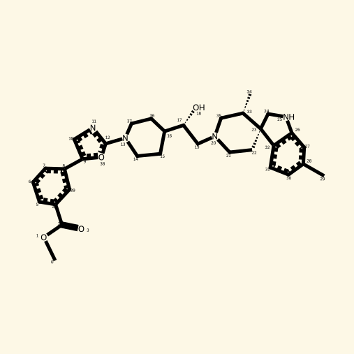 COC(=O)c1cccc(-c2cnc(N3CCC([C@H](O)CN4CC[C@@]5(CNc6cc(C)ccc65)[C@@H](C)C4)CC3)o2)c1